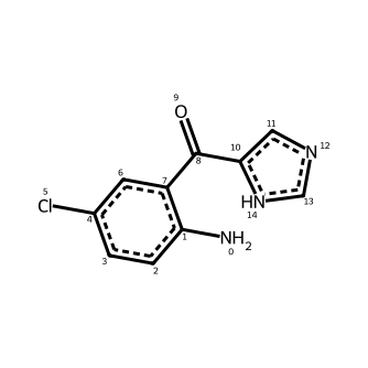 Nc1ccc(Cl)cc1C(=O)c1cnc[nH]1